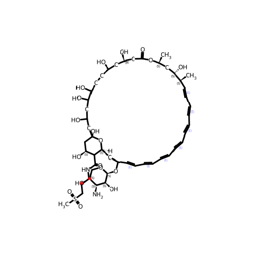 C[C@H]1C[C@H](O)[C@@H](C)/C=C/C=C/C=C/C=C/C=C/C=C/C=C/C(O[C@@H]2OC[C@@H](O)[C@H](N)[C@@H]2O)C[C@@H]2OC(O)(CC(O)CC(O)C(O)CCC(O)C[C@@H](O)CC(=O)O1)C[C@H](O)C2C(=O)NCCCS(C)(=O)=O